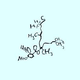 C/C=C(\C)CC/C=C(\C)CC/C(OC(=O)c1ccc(OC)cc1OC)=C(/C)CCC=C(C)C